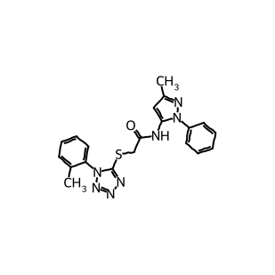 Cc1cc(NC(=O)CSc2nnnn2-c2ccccc2C)n(-c2ccccc2)n1